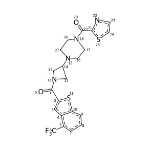 O=C(c1cc2c(C(F)(F)F)cccc2s1)N1CC(N2CCN(C(=O)c3nccs3)CC2)C1